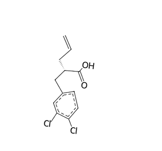 C=CC[C@@H](Cc1ccc(Cl)c(Cl)c1)C(=O)O